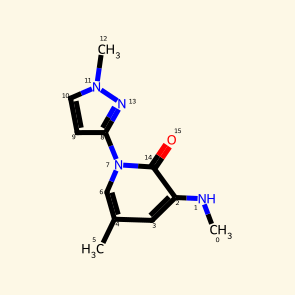 CNc1cc(C)cn(-c2ccn(C)n2)c1=O